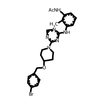 CC(=O)Nc1cccc(Nc2ncnc(N3CCC(OCc4ccc(Br)cc4)CC3)n2)c1C